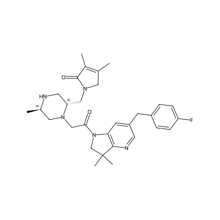 CC1=C(C)C(=O)N(C[C@H]2CN[C@H](C)CN2CC(=O)N2CC(C)(C)c3ncc(Cc4ccc(F)cc4)cc32)C1